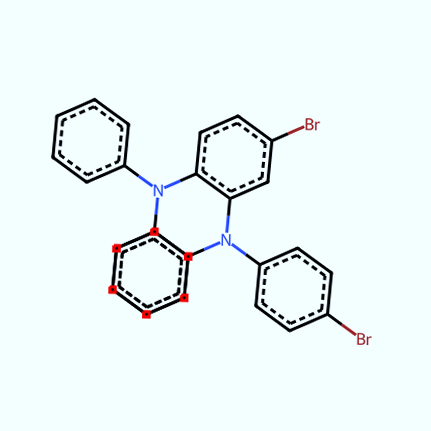 Brc1ccc(N(c2ccccc2)c2cc(Br)ccc2N(c2ccccc2)c2ccccc2)cc1